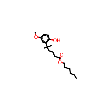 CCCCCCOC(=O)CCCC(C)(C)c1cc(OC)ccc1O